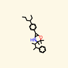 CCCC(CC)c1ccc(C2C3NC(C)(C(C)C(C)c4ccccc4)C(C)(C)OC32)cc1